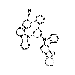 N#Cc1ccccc1-c1ccccc1-c1cc(-n2c3ccccc3c3ccccc32)cc(-n2c3ccccc3c3c4oc5ccccc5c4ccc32)c1